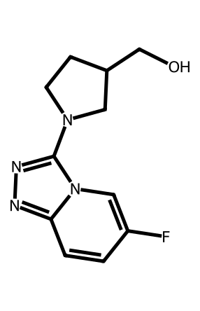 OCC1CCN(c2nnc3ccc(F)cn23)C1